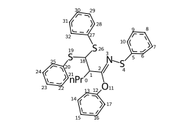 CCCC(/C(=N/Sc1ccccc1)Oc1ccccc1)C(Sc1ccccc1)Sc1ccccc1